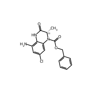 C[C@H]1C(=O)Nc2c(N)cc(Cl)cc2N1C(=O)OCc1ccccc1